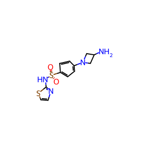 NC1CN(c2ccc(S(=O)(=O)Nc3nccs3)cc2)C1